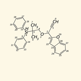 C#CC(OCC(C)(C)[SiH](c1ccccc1)c1ccccc1)c1cc2ccccc2o1